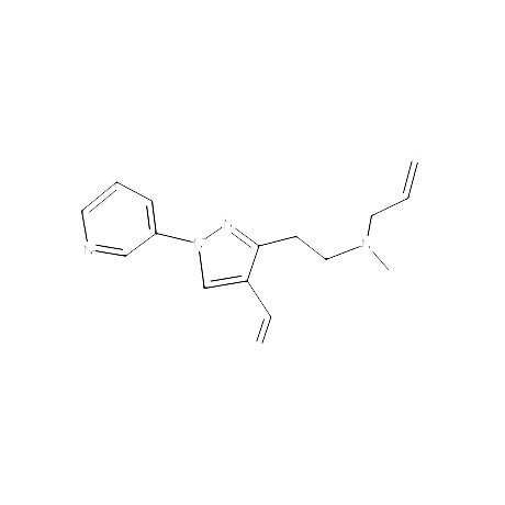 CN(CC=O)CCc1nn(-c2cccnc2)cc1C=O